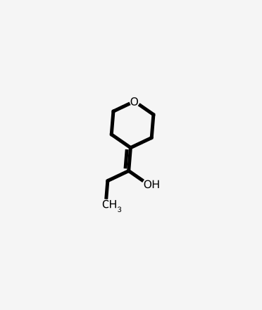 CCC(O)=C1CCOCC1